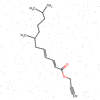 C#CCOC(=O)C=CC=CCC(C)CCCC(C)C